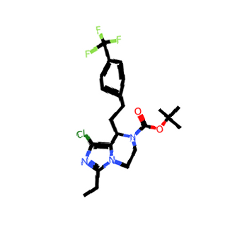 CCc1nc(Cl)c2n1CCN(C(=O)OC(C)(C)C)C2CCc1ccc(C(F)(F)F)cc1